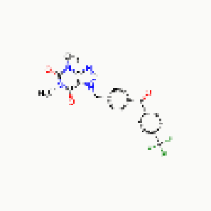 Cn1c(=O)c2c(ncn2Cc2ccc(C(=O)c3ccc(C(F)(F)F)cc3)cc2)n(C)c1=O